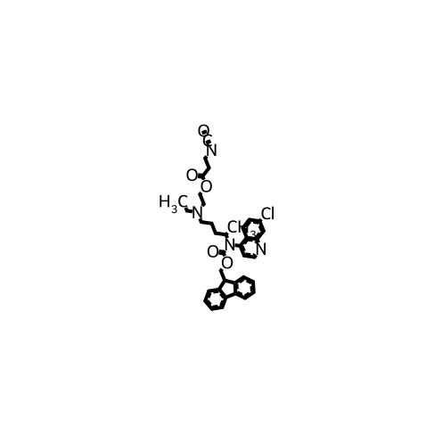 CCN(CCCC(C)N(C(=O)OCC1c2ccccc2-c2ccccc21)c1ccnc2cc(Cl)ccc12)CCOC(=O)CCN=C=O